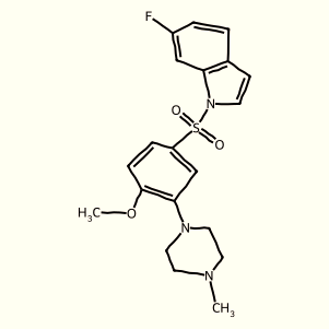 COc1ccc(S(=O)(=O)n2ccc3ccc(F)cc32)cc1N1CCN(C)CC1